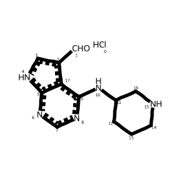 Cl.O=Cc1c[nH]c2ncnc(NC3CCCNC3)c12